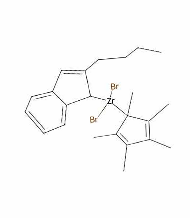 CCCCC1=Cc2ccccc2[CH]1[Zr]([Br])([Br])[C]1(C)C(C)=C(C)C(C)=C1C